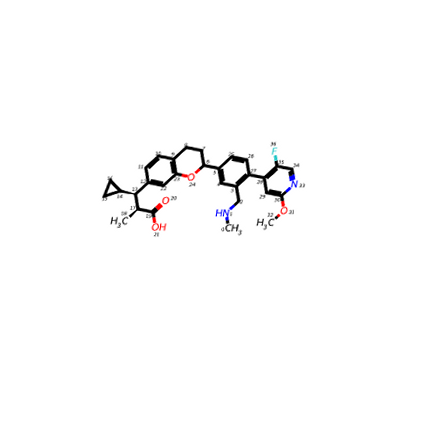 CNCc1cc(C2CCc3ccc([C@H](C4CC4)[C@H](C)C(=O)O)cc3O2)ccc1-c1cc(OC)ncc1F